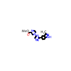 COC(=O)C1=NC=CN(c2cnnc(-c3ccc4[nH]nc(C)c4c3)n2)C1